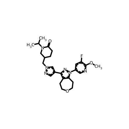 COc1ncc(-n2nc(-c3cnn(CC4CCC(=O)N(C(C)C)C4)c3)c3c2CCOCC3)cc1F